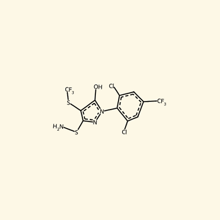 NSc1nn(-c2c(Cl)cc(C(F)(F)F)cc2Cl)c(O)c1SC(F)(F)F